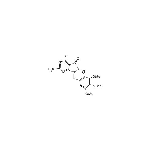 COc1cc(CN2CC(=O)c3c(Cl)nc(N)nc32)c(Cl)c(OC)c1OC